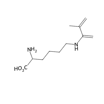 C=C(C)C(=C)NCCCCC(N)C(=O)O